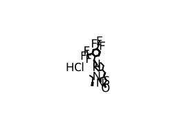 C#CC(C)NC1=NC(=O)SC1=CC1CCN(Cc2ccc(C(F)(F)F)cc2C(F)(F)F)CC1.Cl